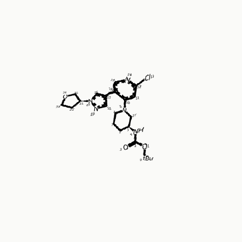 CC(C)(C)OC(=O)N[C@H]1CCCN(c2cc(Cl)ncc2-c2cnn([C@H]3CCOC3)c2)C1